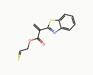 C=C(C(=O)OCC=S)c1nc2ccccc2s1